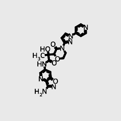 CC(O)(C(=O)Nc1cnc2c(N)noc2c1)C1OCCN(c2ccn(-c3ccncc3)n2)C1=O